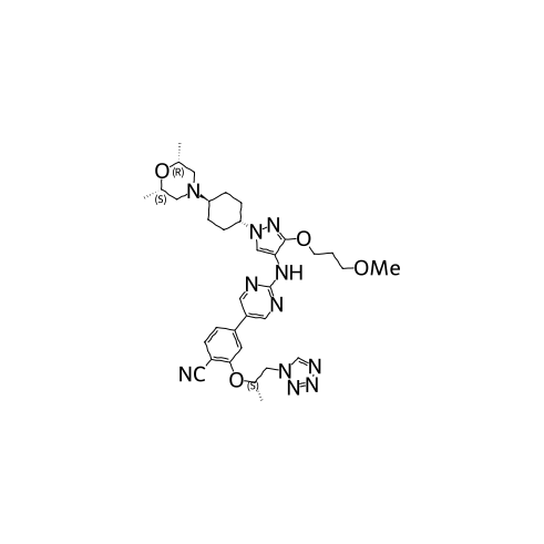 COCCCOc1nn([C@H]2CC[C@H](N3C[C@@H](C)O[C@@H](C)C3)CC2)cc1Nc1ncc(-c2ccc(C#N)c(O[C@@H](C)Cn3cnnn3)c2)cn1